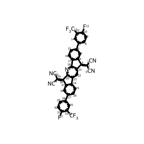 N#CC(C#N)=C1c2cc(-c3ccc(F)c(C(F)(F)F)c3)ccc2-c2nc3c(cc21)-c1ccc(-c2ccc(F)c(C(F)(F)F)c2)cc1C3=C(C#N)C#N